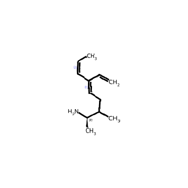 C=CC(/C=C\C)=C\CC(C)[C@@H](C)N